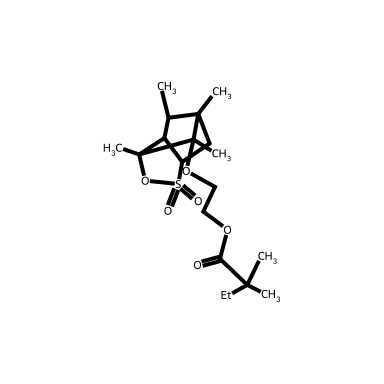 CCC(C)(C)C(=O)OCCOC1(C)C2(C)CC3C(C2C)C1(C)OS3(=O)=O